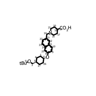 CC(C)(C)OC[C@H]1CC[C@H](Oc2ccc3cc(CN4CCC(C(=O)O)CC4)ccc3c2)CC1